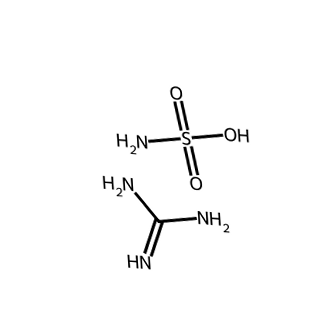 N=C(N)N.NS(=O)(=O)O